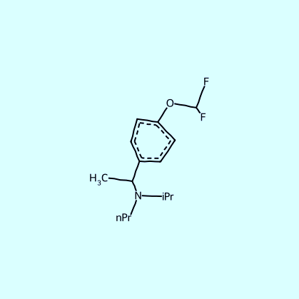 CCCN(C(C)C)C(C)c1ccc(OC(F)F)cc1